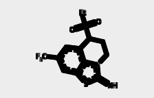 CCS(=O)(=O)C1CCn2c(=N)sc3cc(C(F)(F)F)cc1c32